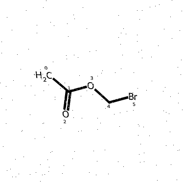 [CH2]C(=O)OCBr